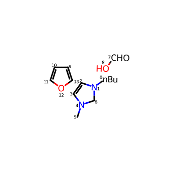 CCCCN1C=CN(C)C1.O=CO.c1ccoc1